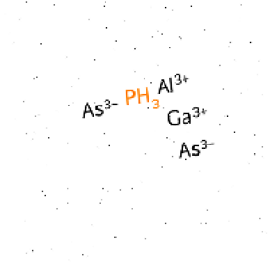 P.[Al+3].[As-3].[As-3].[Ga+3]